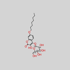 CCCCCCCCOc1ccc2c(O[C@@H]3O[C@H](CO)[C@H](O)[C@H](O)[C@H]3O)c(O)c(=O)oc2c1